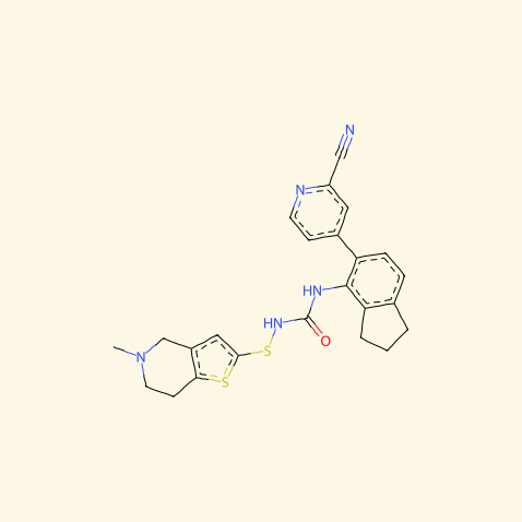 CN1CCc2sc(SNC(=O)Nc3c(-c4ccnc(C#N)c4)ccc4c3CCC4)cc2C1